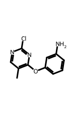 Cc1cnc(Cl)nc1Oc1cccc(N)c1